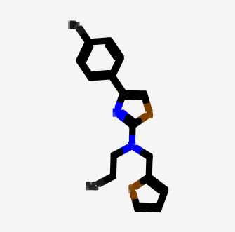 CC(C)c1ccc(-c2csc(N(CCC#N)Cc3cccs3)n2)cc1